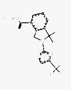 CC1(C)c2cccc(C(=O)NO)c2CN1c1nc(C(F)(F)F)cs1